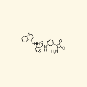 Nc1c(-c2cccc(NC(=O)c3sccc3NCc3ccnc4ccccc34)c2)c(=O)c1=O